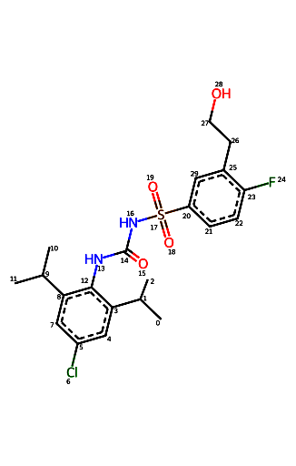 CC(C)c1cc(Cl)cc(C(C)C)c1NC(=O)NS(=O)(=O)c1ccc(F)c(CCO)c1